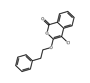 O=c1oc(OCCc2ccccc2)c(Cl)c2ccccc12